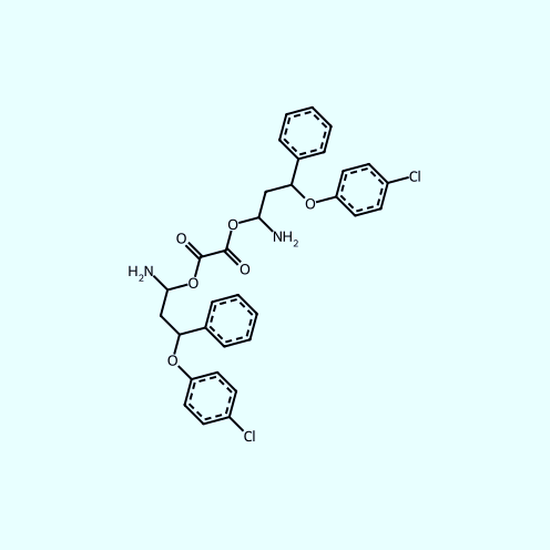 NC(CC(Oc1ccc(Cl)cc1)c1ccccc1)OC(=O)C(=O)OC(N)CC(Oc1ccc(Cl)cc1)c1ccccc1